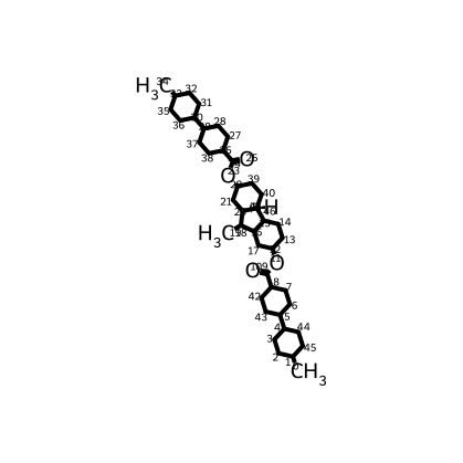 CC1CCC(C2CCC(C(=O)OC3CCC4C(C3)C(C)C3CC(OC(=O)C5CCC(C6CCC(C)CC6)CC5)CC[C@@H]34)CC2)CC1